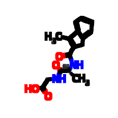 CC1=C(C(=O)N[C@H](C)C(=O)NCC(=O)O)Cc2ccccc21